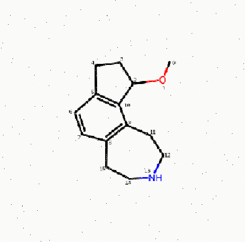 COC1CCc2ccc3c(c21)CCNCC3